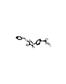 NC(=O)c1ccc(-n2cnc(OCc3ccccc3)c(Br)c2=O)cc1